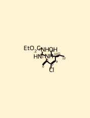 C=C(NC(=N)NC(=O)OCC)/C(Cl)=C\C(=C/C)CO